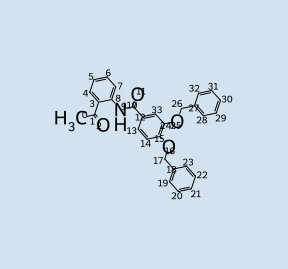 CC(=O)c1ccccc1NC(=O)c1ccc(OCc2ccccc2)c(OCc2ccccc2)c1